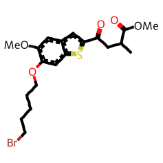 COC(=O)C(C)CC(=O)c1cc2cc(OC)c(OCCCCCBr)cc2s1